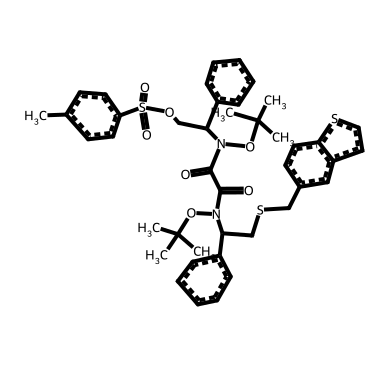 Cc1ccc(S(=O)(=O)OCC(c2ccccc2)N(OC(C)(C)C)C(=O)C(=O)N(OC(C)(C)C)C(CSCc2ccc3sccc3c2)c2ccccc2)cc1